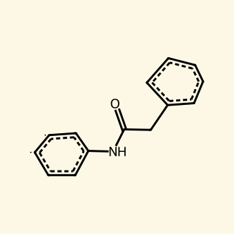 O=C(Cc1ccccc1)Nc1c[c][c]cc1